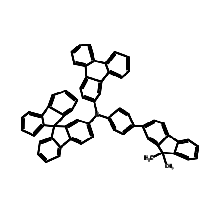 CC1(C)c2ccccc2-c2ccc(-c3ccc(N(c4ccc5c(c4)C4(c6ccccc6-c6ccccc64)c4ccccc4-5)c4ccc5c6ccccc6c6ccccc6c5c4)cc3)cc21